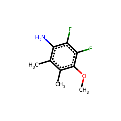 COc1c(C)c(C)c(N)c(F)c1F